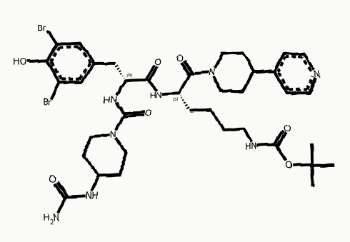 CC(C)(C)OC(=O)NCCCC[C@H](NC(=O)[C@@H](Cc1cc(Br)c(O)c(Br)c1)NC(=O)N1CCC(NC(N)=O)CC1)C(=O)N1CCC(c2ccncc2)CC1